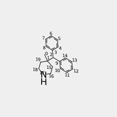 CC1(C(c2ccccc2)c2ccccc2)CCNCC1